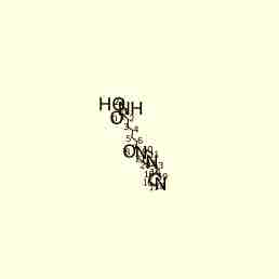 O=C(CCCCCC(=O)N1CCN(Cc2cccnc2)CC1)NO